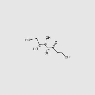 O=C(CCO)[C@H](O)[C@@H](O)[C@H](O)CO